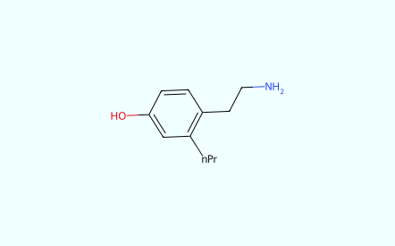 CCCc1cc(O)ccc1CCN